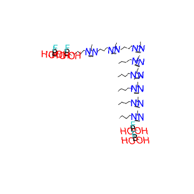 CCCCn1ccnc1C.CCCCn1ccnc1C.CCCCn1ccnc1C.CCCCn1ccnc1C.CCCCn1ccnc1C.CCCCn1ccnc1C.CCCCn1ccnc1C.CCCCn1ccnc1C.OB(O)F.OB(O)F.OB(O)F.OB(O)F